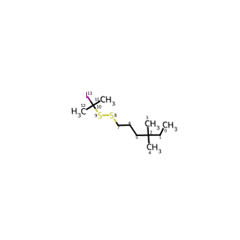 CCC(C)(C)CCCSSC(C)(C)I